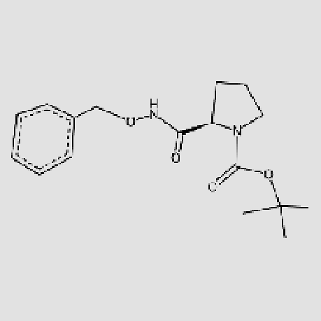 CC(C)(C)OC(=O)N1CCC[C@@H]1C(=O)NOCc1ccccc1